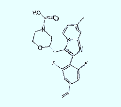 C=Cc1cc(F)c(-c2nc3cc(C)ccn3c2C[C@H]2CN(C(=O)O)CCO2)c(F)c1